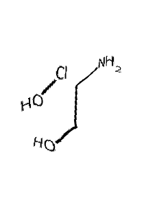 NCCO.OCl